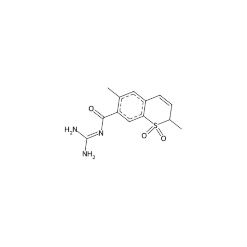 Cc1cc2c(cc1C(=O)N=C(N)N)S(=O)(=O)C(C)C=C2